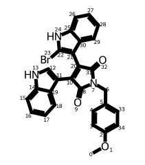 COc1ccc(CN2C(=O)C(c3c[nH]c4ccccc34)=C(c3c(Br)[nH]c4ccccc34)C2=O)cc1